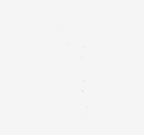 CCNc1nc(-c2ccc(NC(=O)NCc3ccc(N)nc3)cc2)ccc1C(=O)NCCN1CCC(F)C1